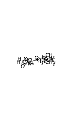 C=C(NC)C(CCC=O)c1nn(C2CC2)c2c(C#CCC(=O)OCCCN(CC(C)C)C(=O)OC(C)(C)C)cccc12